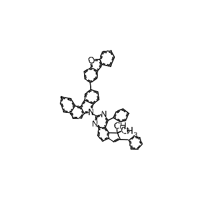 CC1(C)C(c2ccccc2)=Cc2ccc3nc(-n4c5ccc(-c6ccc7oc8ccccc8c7c6)cc5c5c6ccccc6ccc54)nc(-c4ccccc4)c3c21